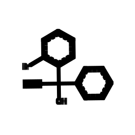 C#CC(O)(c1ccccc1)c1ccccc1Br